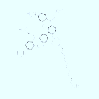 CCCCCCCCCCCC1CCC(c2ccc(C(CCC)c3ccc(N)cc3C)cc2)(c2ccc(C(CCC)c3ccc(N)cc3C)cc2)CC1